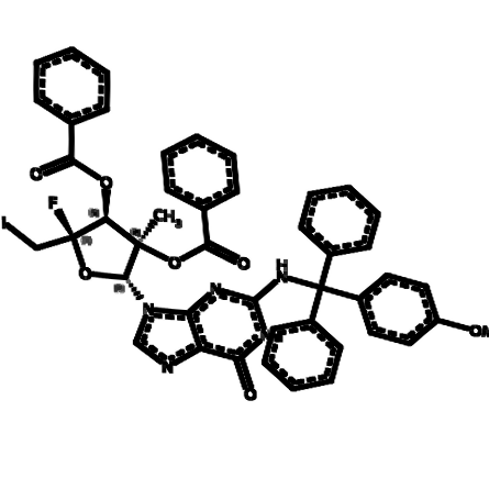 COc1ccc(C(Nc2nc3c(ncn3[C@@H]3O[C@](F)(CI)[C@@H](OC(=O)c4ccccc4)[C@@]3(C)OC(=O)c3ccccc3)c(=O)[nH]2)(c2ccccc2)c2ccccc2)cc1